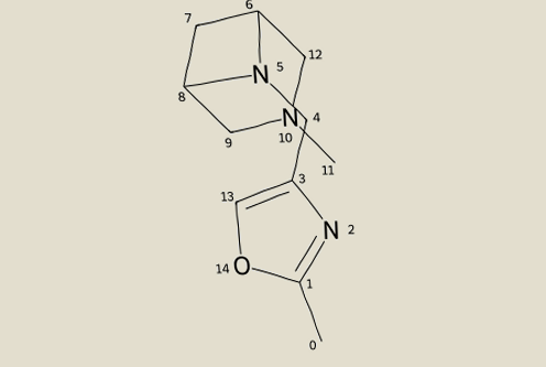 Cc1nc(CN2C3CC2CN(C)C3)co1